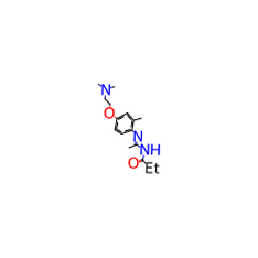 CCC(=O)N/C(C)=N/c1ccc(OCCN(C)C)cc1C